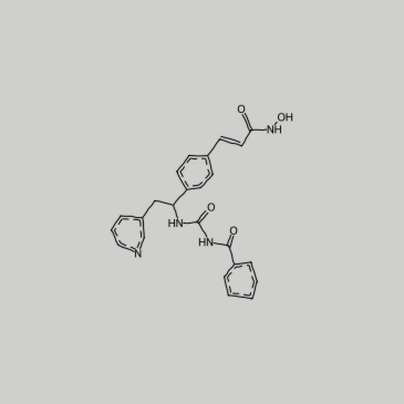 O=C(C=Cc1ccc(C(Cc2cccnc2)NC(=O)NC(=O)c2ccccc2)cc1)NO